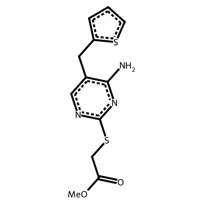 COC(=O)CSc1ncc(Cc2cccs2)c(N)n1